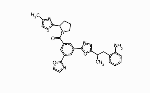 Cc1csc([C@H]2CCCN2C(=O)c2cc(-c3ncco3)cc(-c3ncc([C@H](C)Cc4ccccc4N)o3)c2)n1